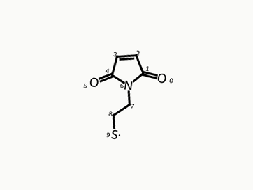 O=C1C=CC(=O)N1CC[S]